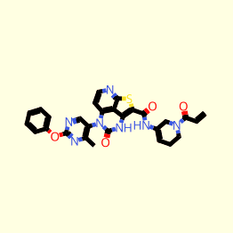 C=CC(=O)N1CCC=C(NC(=O)c2sc3nccc4c3c2NC(=O)N4c2cnc(Oc3ccccc3)nc2C)C1